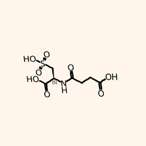 O=C(O)CCC(=O)N[C@H](CS(=O)(=O)O)C(=O)O